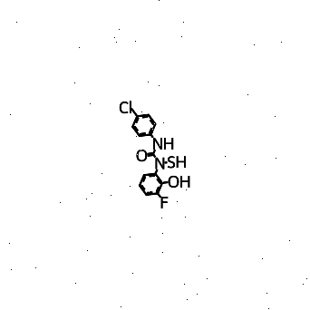 O=C(Nc1ccc(Cl)cc1)N(S)c1cccc(F)c1O